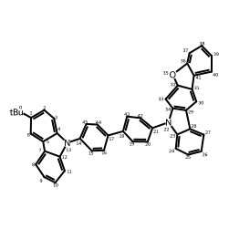 CC(C)(C)c1ccc2c(c1)c1ccccc1n2-c1ccc(-c2ccc(-n3c4ccccc4c4cc5c(cc43)oc3ccccc35)cc2)cc1